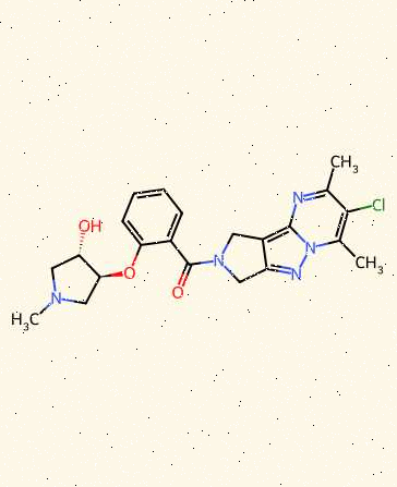 Cc1nc2c3c(nn2c(C)c1Cl)CN(C(=O)c1ccccc1O[C@H]1CN(C)C[C@@H]1O)C3